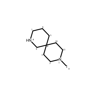 IN1CCC2(CCCNC2)CC1